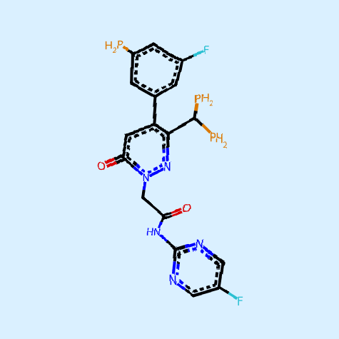 O=C(Cn1nc(C(P)P)c(-c2cc(F)cc(P)c2)cc1=O)Nc1ncc(F)cn1